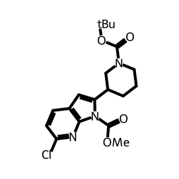 COC(=O)n1c(C2CCCN(C(=O)OC(C)(C)C)C2)cc2ccc(Cl)nc21